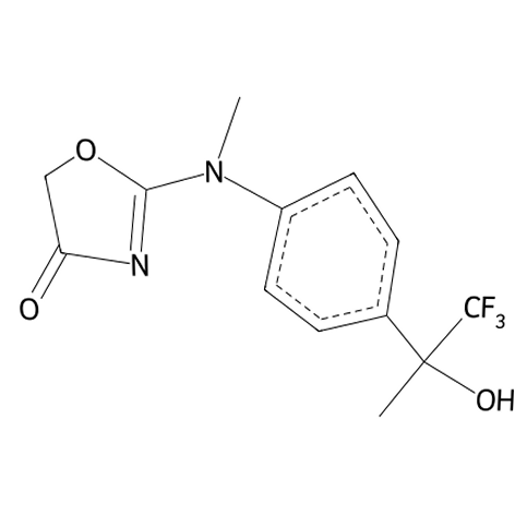 CN(C1=NC(=O)CO1)c1ccc(C(C)(O)C(F)(F)F)cc1